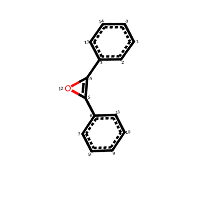 c1ccc(C2=C(c3ccccc3)O2)cc1